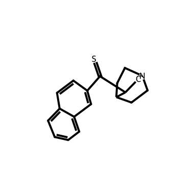 S=C(c1ccc2ccccc2c1)C1CN2CCC1CC2